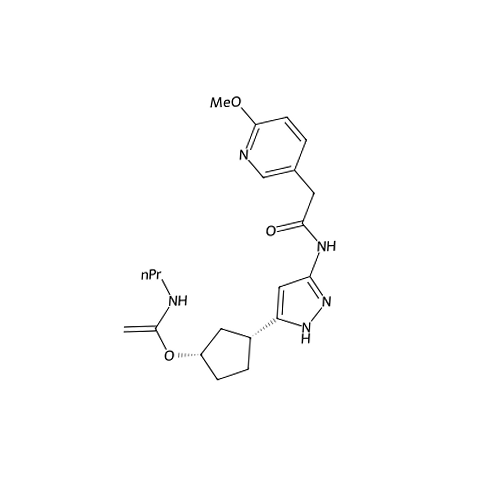 C=C(NCCC)O[C@H]1CC[C@@H](c2cc(NC(=O)Cc3ccc(OC)nc3)n[nH]2)C1